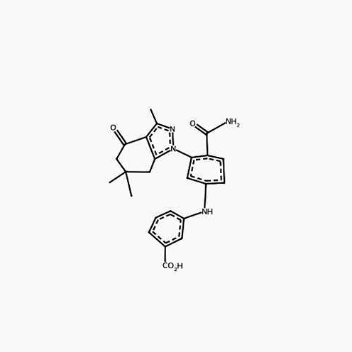 Cc1nn(-c2cc(Nc3cccc(C(=O)O)c3)ccc2C(N)=O)c2c1C(=O)CC(C)(C)C2